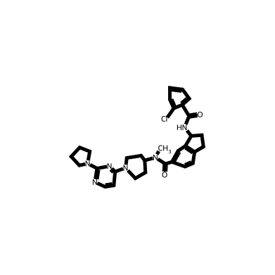 CN(C(=O)c1ccc2c(c1)C(NC(=O)c1ccccc1Cl)CC2)C1CCN(c2ccnc(N3CCCC3)n2)CC1